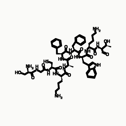 C[C@H](NC(=O)[C@H](CCCCN)NC(=O)[C@H](CS)NC(=O)CNC(=O)[C@H](N)CO)C(=O)N[C@@H](Cc1ccccc1)C(=O)N[C@@H](Cc1ccccc1)C(=O)N[C@H](Cc1c[nH]c2ccccc12)C(=O)N[C@@H](CCCCN)C(=O)N[C@H]([C]=O)[C@@H](C)O